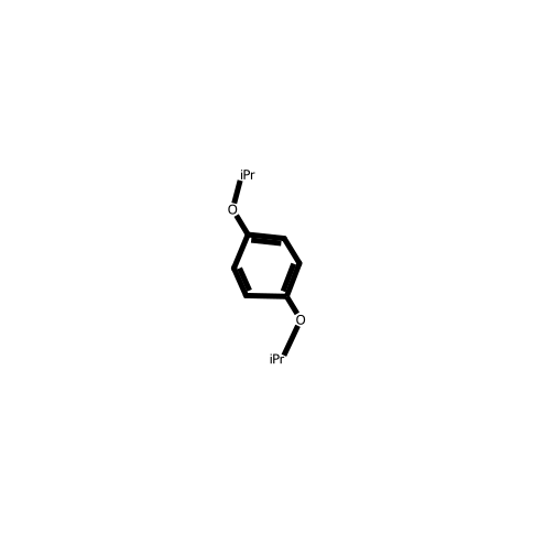 CC(C)Oc1ccc(OC(C)C)cc1